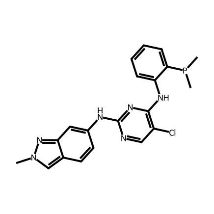 Cn1cc2ccc(Nc3ncc(Cl)c(Nc4ccccc4P(C)C)n3)cc2n1